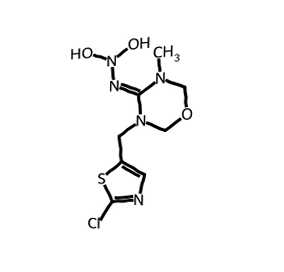 CN1COCN(Cc2cnc(Cl)s2)/C1=N/N(O)O